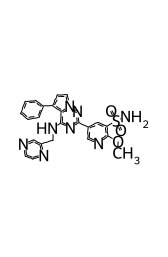 COc1ncc(-c2nc(NCc3cnccn3)c3c(-c4ccccc4)ccn3n2)cc1S(N)(=O)=O